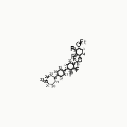 CCOc1ccc(OC(F)(F)c2ccc(-c3ccc(C4CCCC(C)CC4)cc3)c(F)c2F)c(F)c1F